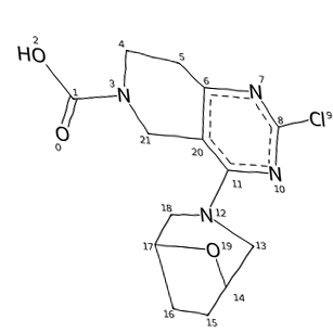 O=C(O)N1CCc2nc(Cl)nc(N3CC4CCC(C3)O4)c2C1